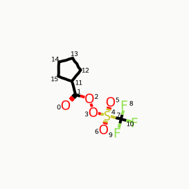 O=C(OOS(=O)(=O)C(F)(F)F)C1CCCC1